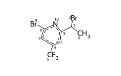 CC(Br)c1cc(C(F)(F)F)cc(Br)n1